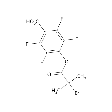 CC(C)(Br)C(=O)Oc1c(F)c(F)c(C(=O)O)c(F)c1F